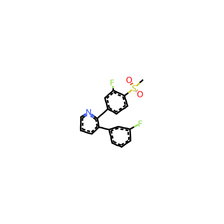 CS(=O)(=O)c1ccc(-c2ncccc2-c2cccc(F)c2)cc1F